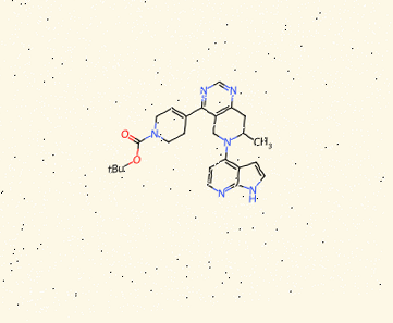 CC1Cc2ncnc(C3=CCN(C(=O)OC(C)(C)C)CC3)c2CN1c1ccnc2[nH]ccc12